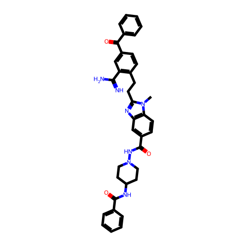 Cn1c(CCc2ccc(C(=O)c3ccccc3)cc2C(=N)N)nc2cc(C(=O)NN3CCC(NC(=O)c4ccccc4)CC3)ccc21